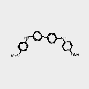 COc1ccc(Nc2ccc(-c3ccc(NC4=CCC(OC)C=C4)cc3)cc2)cc1